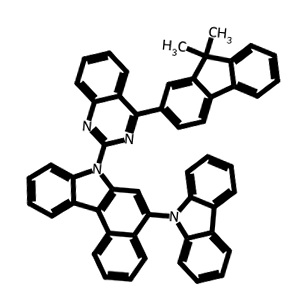 CC1(C)c2ccccc2-c2ccc(-c3nc(-n4c5ccccc5c5c6ccccc6c(-n6c7ccccc7c7ccccc76)cc54)nc4ccccc34)cc21